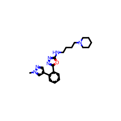 Cn1cc(-c2ccccc2-c2nnc(NCCCCN3CCCCC3)o2)cn1